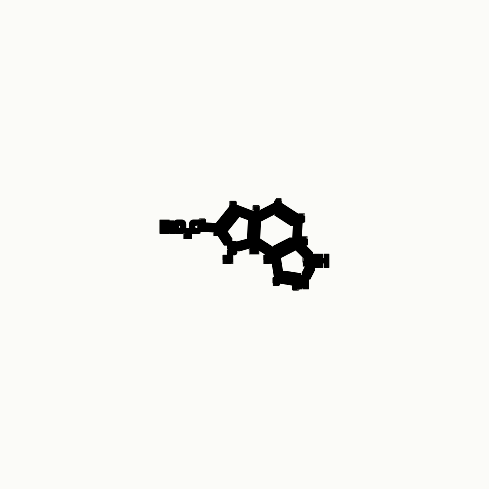 CCOC(=O)c1cc2ccc3[nH]ncc3c2s1